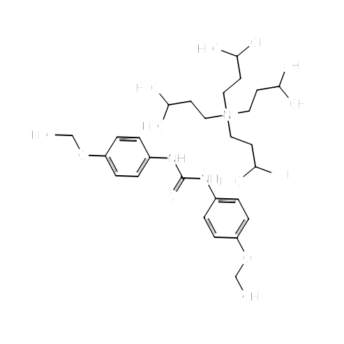 CC(C)CC[N+](CCC(C)C)(CCC(C)C)CCC(C)C.CCOc1ccc(NC(=S)Nc2ccc(OCC)cc2)cc1